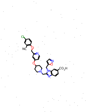 N#Cc1cc(Cl)ccc1OCc1cc(OC2CCN(Cc3nc4ccc(C(=O)O)cc4n3Cc3ccno3)CC2)ccn1